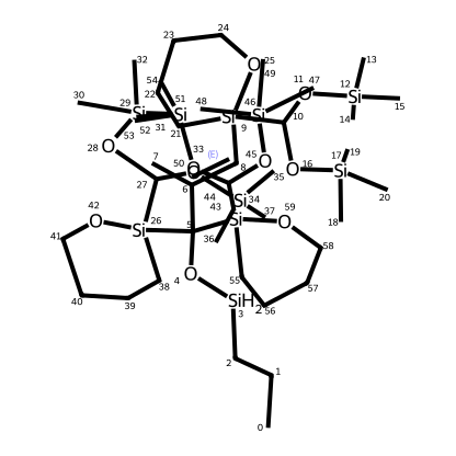 CCC[SiH2]OC(/C(C)=C/[Si]1(C(O[Si](C)(C)C)O[Si](C)(C)C)CCCCO1)([Si]1(C(O[Si](C)(C)C)O[Si](C)(C)C)CCCCO1)[Si]1(C(O[Si](C)(C)C)O[Si](C)(C)C)CCCCO1